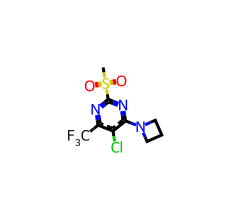 CS(=O)(=O)c1nc(N2CCC2)c(Cl)c(C(F)(F)F)n1